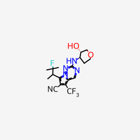 CC(c1c(C#N)c(C(F)(F)F)c2cnc(N[C@@H]3CCOC[C@H]3O)nn12)C(C)(C)F